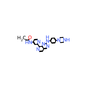 C=CC(=O)Nc1ccnc(-c2nccc3cnc(Nc4ccc(N5CCNCC5)cc4)nc23)c1